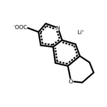 O=C([O-])c1cnc2cc3c(cc2c1)OCCC3.[Li+]